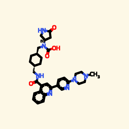 CN1CCN(c2ccc(-c3cc(C(=O)NC[C@H]4CC[C@H](CN(C(=O)O)[C@@H]5CNC(=O)C5)CC4)c4ccccc4n3)cn2)CC1